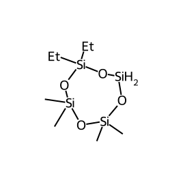 CC[Si]1(CC)O[SiH2]O[Si](C)(C)O[Si](C)(C)O1